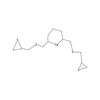 C1CC(CSCC2CS2)[Te]C(CSCC2CS2)C1